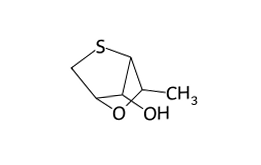 CC1OC2CSC1C2O